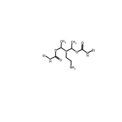 CCNC(=O)OC(C)N(CCN)C(C)OC(=O)NCC